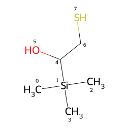 C[Si](C)(C)C(O)CS